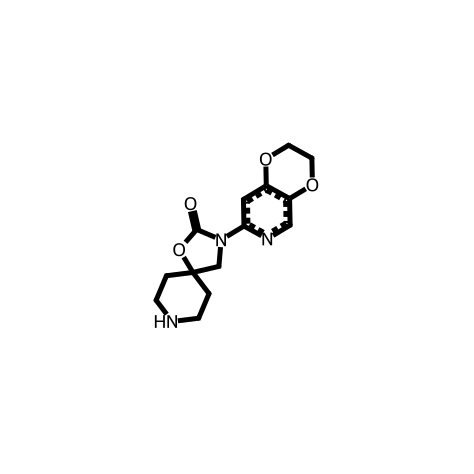 O=C1OC2(CCNCC2)CN1c1cc2c(cn1)OCCO2